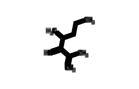 C=C(C)C(=N)C(C)CCC